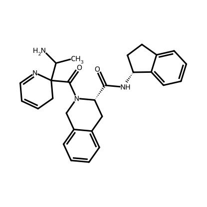 CC(N)C1(C(=O)N2Cc3ccccc3C[C@H]2C(=O)N[C@@H]2CCc3ccccc32)CC=CC=N1